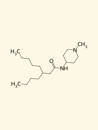 CCCCCC(CCCC)CC(=O)NC1CCN(C)CC1